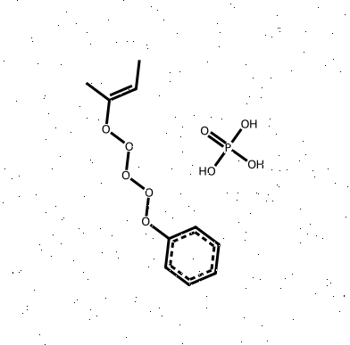 CC=C(C)OOOOOc1ccccc1.O=P(O)(O)O